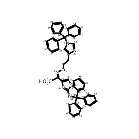 O=C(O)/C(=N/OCCc1cn(C(c2ccccc2)(c2ccccc2)c2ccccc2)cn1)c1csc(NC(c2ccccc2)(c2ccccc2)c2ccccc2)n1